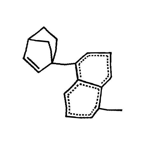 Cc1cccc2c(C34C=CC(CC3)C4)cccc12